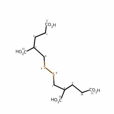 O=C(O)CCC(CSSCC(CCC(=O)O)C(=O)O)C(=O)O